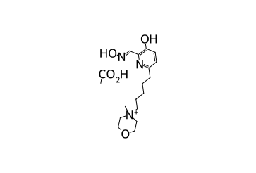 CC(=O)O.C[N+]1(CCCCCc2ccc(O)c(C=NO)n2)CCOCC1